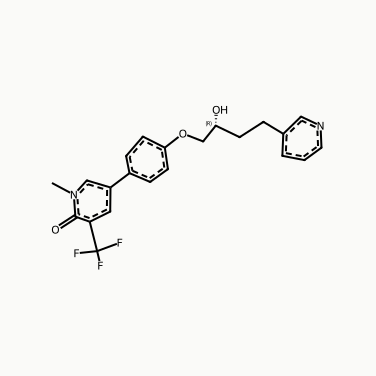 Cn1cc(-c2ccc(OC[C@H](O)CCc3cccnc3)cc2)cc(C(F)(F)F)c1=O